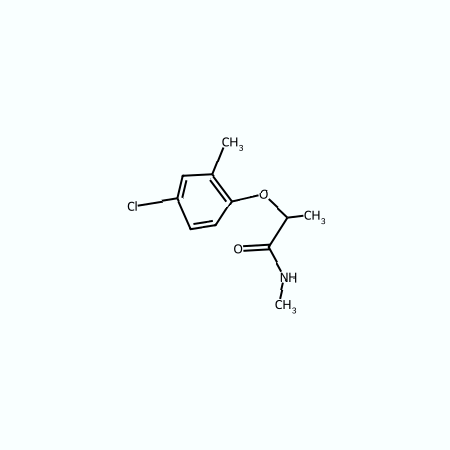 CNC(=O)C(C)Oc1ccc(Cl)cc1C